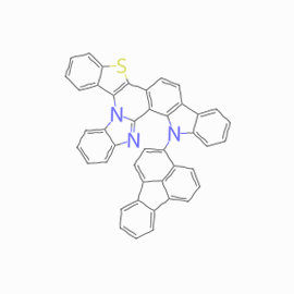 c1ccc2c(c1)-c1cccc3c(-n4c5ccccc5c5ccc6c7sc8ccccc8c7n7c8ccccc8nc7c6c54)ccc-2c13